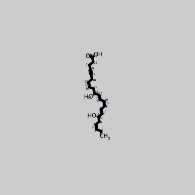 CC/C=C\C[C@H](O)/C=C/C=C\C=C\[C@@H](O)C/C=C\CC#CCCC(=O)O